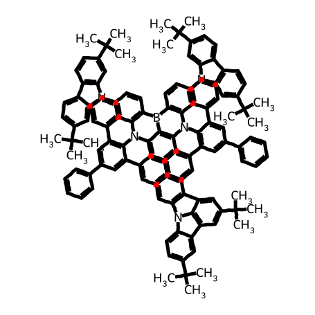 CC(C)(C)c1ccc2c(c1)c1cc(C(C)(C)C)cc3c4cc(-c5cc6c7c(c5)N(c5c(-c8ccccc8)cc(-c8ccccc8)cc5-c5ccccc5)c5cc(-n8c9cc(C(C)(C)C)ccc9c9ccc(C(C)(C)C)cc98)ccc5B7c5ccc(-n7c8cc(C(C)(C)C)ccc8c8ccc(C(C)(C)C)cc87)cc5N6c5c(-c6ccccc6)cc(-c6ccccc6)cc5-c5ccccc5)ccc4n2c31